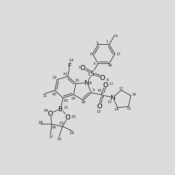 Cc1ccc(S(=O)(=O)n2c(S(=O)(=O)N3CCCC3)cc3c(B4OC(C)(C)C(C)(C)O4)c(C)cc(F)c32)cc1